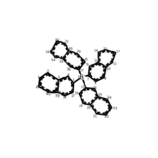 c1ccc2cc([B-](c3ccc4ccccc4c3)(c3ccc4ccccc4c3)c3ccc4ccccc4c3)ccc2c1